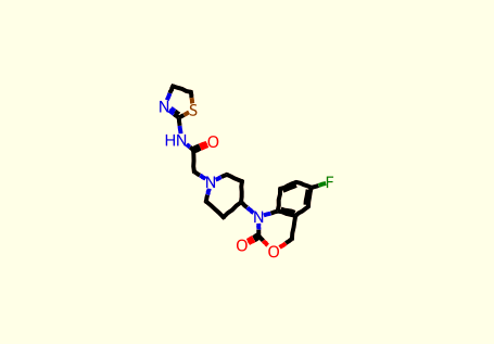 O=C(CN1CCC(N2C(=O)OCc3cc(F)ccc32)CC1)NC1=NCCS1